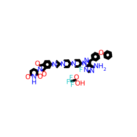 Nc1ncnc2c1c(-c1ccc(Oc3ccccc3)cc1)nn2C1CCN(C2CCN(C3CN(c4ccc5c(c4)C(=O)N(C4CCC(=O)NC4=O)C5=O)C3)CC2)CC1F.O=C(O)C(F)(F)F